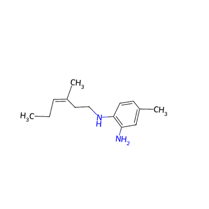 CC/C=C(/C)CCNc1ccc(C)cc1N